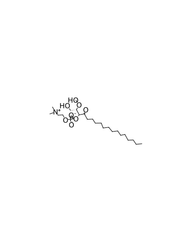 CCCCCCCCCCCCCCC(=O)C(OP(=O)([O-])OCC[N+](C)(C)C)[C@H](CO)OO